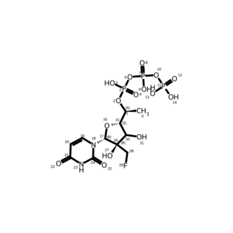 C[C@H](OP(=O)(O)OP(=O)(O)OP(=O)(O)O)[C@H]1O[C@@H](n2ccc(=O)[nH]c2=O)[C@@](O)(CF)C1O